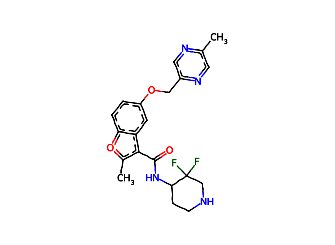 Cc1cnc(COc2ccc3oc(C)c(C(=O)NC4CCNCC4(F)F)c3c2)cn1